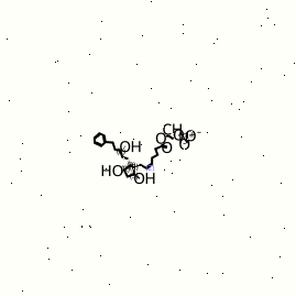 CC(CO[N+](=O)[O-])OC(=O)CCC/C=C\C[C@@H]1[C@@H](CC[C@@H](O)CCc2ccccc2)[C@H](O)C[C@@H]1O